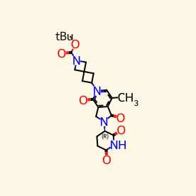 Cc1cn(C2CC3(C2)CN(C(=O)OC(C)(C)C)C3)c(=O)c2c1C(=O)N([C@@H]1CCC(=O)NC1=O)C2